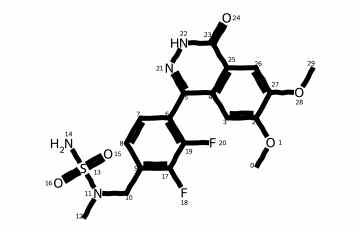 COc1cc2c(-c3ccc(CN(C)S(N)(=O)=O)c(F)c3F)n[nH]c(=O)c2cc1OC